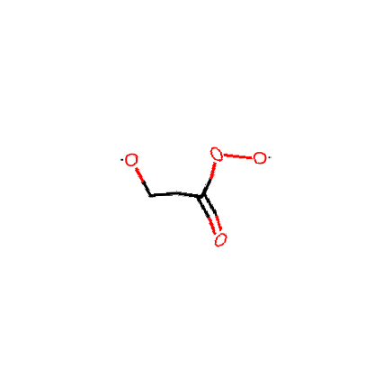 [O]CC(=O)O[O]